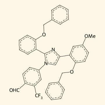 COc1ccc(OCc2ccccc2)c(-c2cn(-c3ccc(C=O)c(C(F)(F)F)c3)c(-c3ccccc3OCc3ccccc3)n2)c1